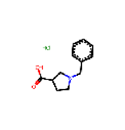 Cl.O=C(O)C1CCN(Cc2ccccc2)C1